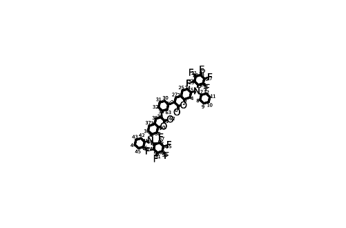 O=c1oc2cc(N(c3ccccc3)c3c(F)c(F)c(F)c(F)c3F)ccc2cc1-c1cccc(-c2cc3ccc(N(c4ccccc4)c4c(F)c(F)c(F)c(F)c4F)cc3oc2=O)c1